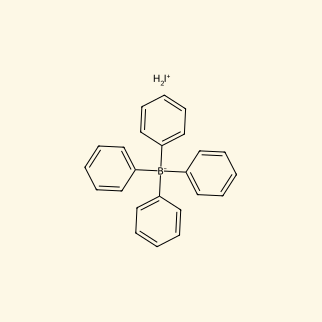 [IH2+].c1ccc([B-](c2ccccc2)(c2ccccc2)c2ccccc2)cc1